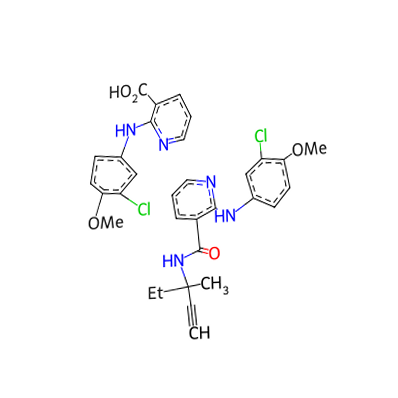 C#CC(C)(CC)NC(=O)c1cccnc1Nc1ccc(OC)c(Cl)c1.COc1ccc(Nc2ncccc2C(=O)O)cc1Cl